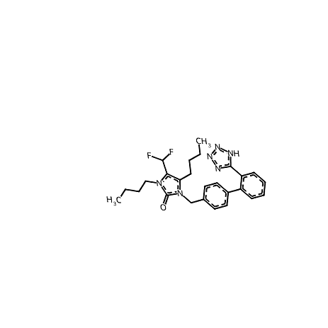 CCCCc1c(C(F)F)n(CCCC)c(=O)n1Cc1ccc(-c2ccccc2-c2nnn[nH]2)cc1